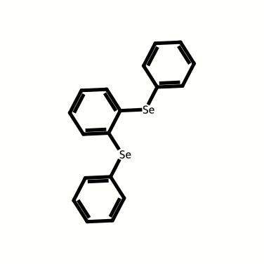 c1ccc([Se]c2ccccc2[Se]c2ccccc2)cc1